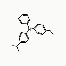 CCc1ccc(N(c2ccccc2)c2ccc(C(C)C)cc2)cc1